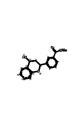 COC(=O)c1cccc(C2CC(O)c3ccncc3O2)c1